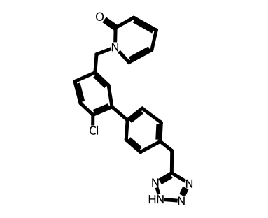 O=c1ccccn1Cc1ccc(Cl)c(-c2ccc(Cc3nn[nH]n3)cc2)c1